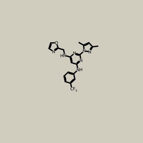 Cc1cc(C)n(-c2nc(NCc3ncco3)cc(Nc3cccc(C(F)(F)F)c3)n2)n1